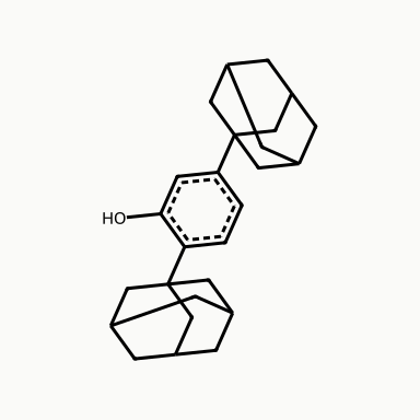 Oc1cc(C23CC4CC(CC(C4)C2)C3)ccc1C12CC3CC(CC(C3)C1)C2